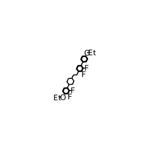 CCOc1ccc(-c2ccc(CCC3CCC(c4ccc(OCC)c(F)c4F)CC3)c(F)c2F)cc1